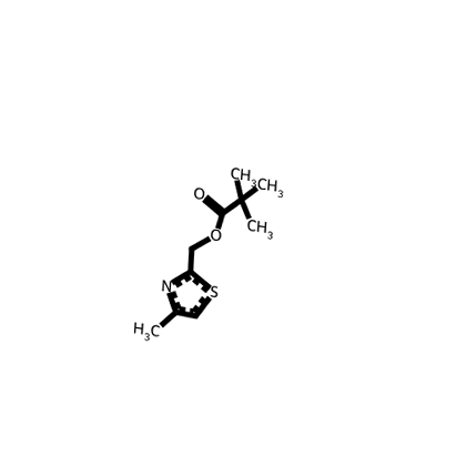 Cc1csc(COC(=O)C(C)(C)C)n1